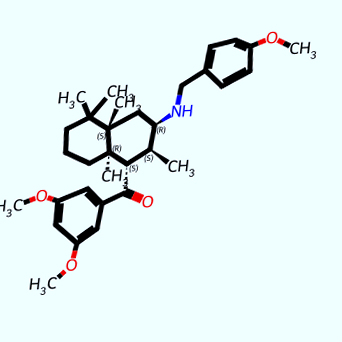 COc1ccc(CN[C@@H]2C[C@@]3(C)C(C)(C)CCC[C@]3(C)[C@@H](C(=O)c3cc(OC)cc(OC)c3)[C@@H]2C)cc1